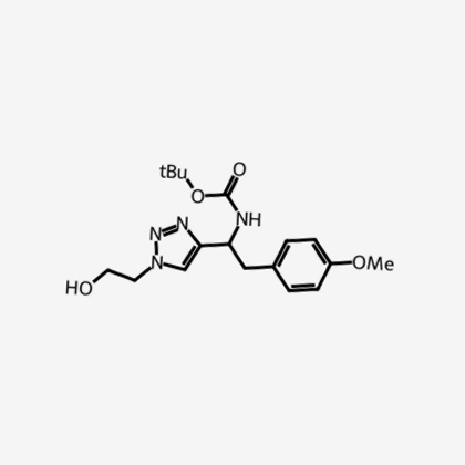 COc1ccc(CC(NC(=O)OC(C)(C)C)c2cn(CCO)nn2)cc1